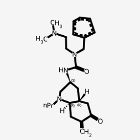 C=C1C[C@@H]2[C@@H](CC1=O)C[C@H](NC(=O)N(CCN(C)C)Cc1ccccc1)CN2CCC